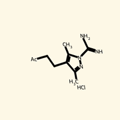 CC(=O)CCc1c(C)nn(C(=N)N)c1C.Cl